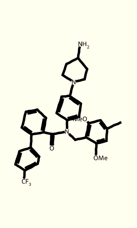 COc1cc(C)cc(OC)c1CN(C(=O)c1ccccc1-c1ccc(C(F)(F)F)cc1)c1ccc(N2CCC(N)CC2)cc1